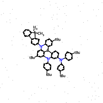 CC(C)(C)c1ccc(N(c2ccc(C(C)(C)C)cc2)c2ccc3c(c2)N(c2ccc(C(C)(C)C)cc2)c2cc(C(C)(C)C)cc4c2B3c2cc(C(C)(C)C)ccc2N4c2ccc3c(c2)C(C)(C)c2ccccc2-3)cc1